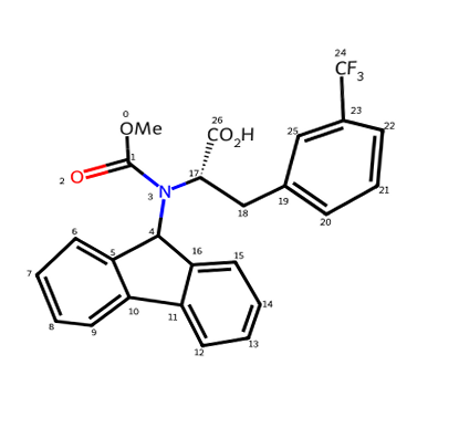 COC(=O)N(C1c2ccccc2-c2ccccc21)[C@@H](Cc1cccc(C(F)(F)F)c1)C(=O)O